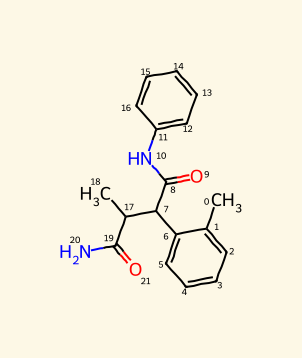 Cc1ccccc1C(C(=O)Nc1ccccc1)C(C)C(N)=O